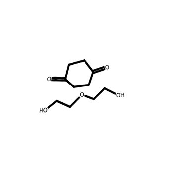 O=C1CCC(=O)CC1.OCCOCCO